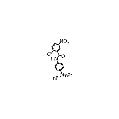 CCCN(CCC)c1ccc(NC(=O)c2cc([N+](=O)[O-])ccc2Cl)cc1